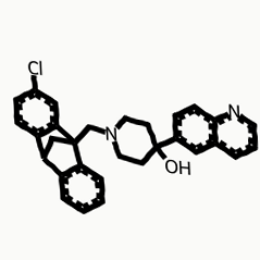 OC1(c2ccc3ncccc3c2)CCN(CC23CC(c4ccccc42)c2ccc(Cl)cc23)CC1